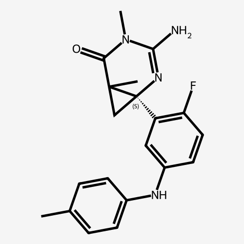 Cc1ccc(Nc2ccc(F)c([C@]34CC3(C)C(=O)N(C)C(N)=N4)c2)cc1